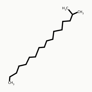 CCC[CH]CCCCCCCCCCCC(C)C